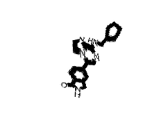 O=C1NCc2cc(-c3cnc(NCC4CCCC4)c4nccn34)ccc21